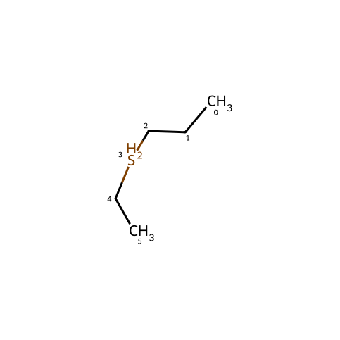 CCC[SH2]CC